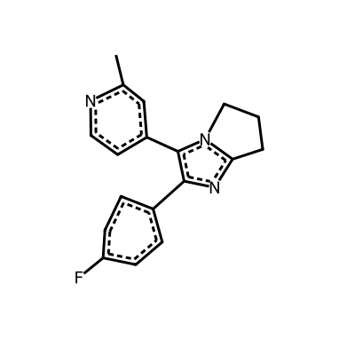 Cc1cc(-c2c(-c3ccc(F)cc3)nc3n2CCC3)ccn1